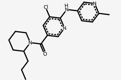 CCCC1CCCCN1C(=O)c1cnc(Nc2ccc(C)nc2)c(Cl)c1